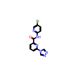 O=C(Nc1ccc(Br)cn1)c1cccc(-n2cnnc2)n1